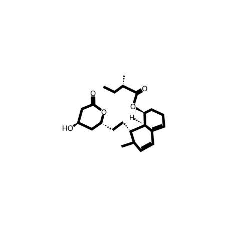 CC[C@H](C)C(=O)O[C@H]1CCC=C2C=CC(C)[C@H](CC[C@@H]3C[C@@H](O)CC(=O)O3)[C@H]21